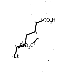 CCC=CCCCC(=O)O.CCOC(C)=O